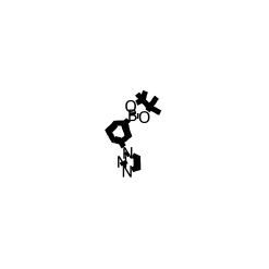 CC1(C)OB(c2cccc(-n3ccnn3)c2)OC1(C)C